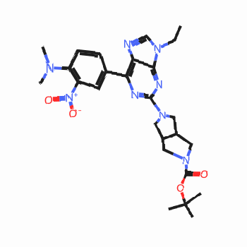 CCn1cnc2c(-c3ccc(N(C)C)c([N+](=O)[O-])c3)nc(N3CC4CN(C(=O)OC(C)(C)C)CC4C3)nc21